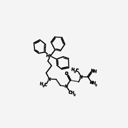 CN(CCC[PH](c1ccccc1)(c1ccccc1)c1ccccc1)CCN(C)C(=O)CN(C)C(=N)N